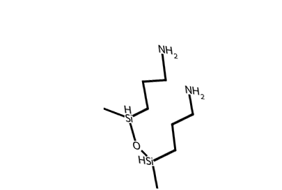 C[SiH](CCCN)O[SiH](C)CCCN